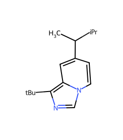 CC(C)C(C)c1ccn2cnc(C(C)(C)C)c2c1